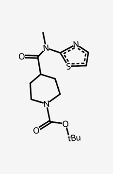 CN(C(=O)C1CCN(C(=O)OC(C)(C)C)CC1)c1nccs1